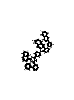 c1ccc(-c2ccccc2-c2nc(-c3ccc(-n4c5ccccc5c5c(-n6c7ccccc7c7cc8ccccc8cc76)c6ccccc6cc54)cc3)nc(-c3cccc4ccccc34)n2)cc1